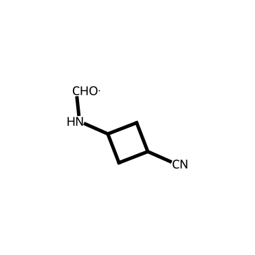 N#CC1CC(N[C]=O)C1